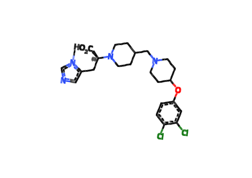 Cn1cncc1C[C@@H](C(=O)O)N1CCC(CN2CCC(Oc3ccc(Cl)c(Cl)c3)CC2)CC1